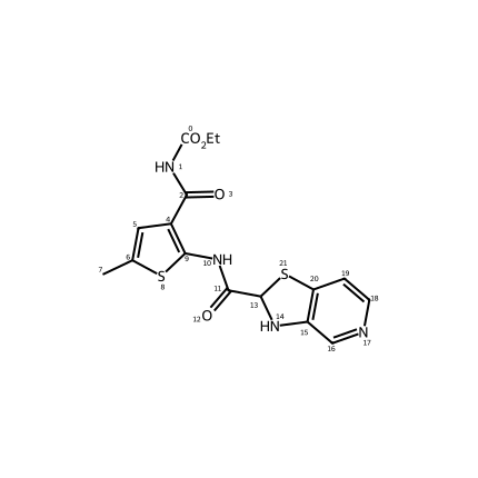 CCOC(=O)NC(=O)c1cc(C)sc1NC(=O)C1Nc2cnccc2S1